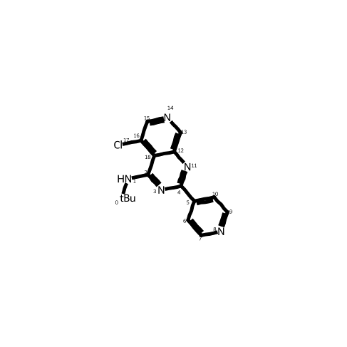 CC(C)(C)Nc1nc(-c2ccncc2)nc2cncc(Cl)c12